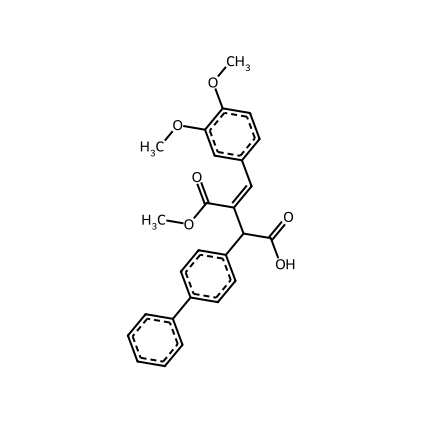 COC(=O)C(=Cc1ccc(OC)c(OC)c1)C(C(=O)O)c1ccc(-c2ccccc2)cc1